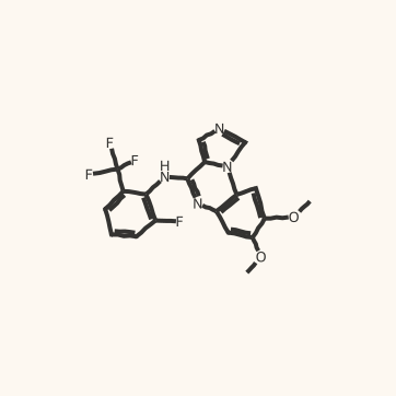 COc1cc2nc(Nc3c(F)cccc3C(F)(F)F)c3cncn3c2cc1OC